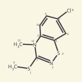 CSC1=NSc2cc(Cl)ccc2N1C